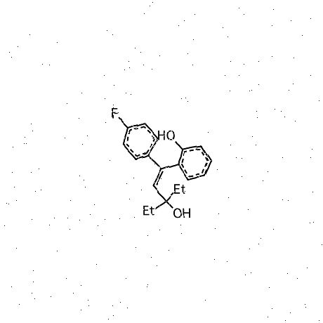 CCC(O)(C=C(c1ccc(F)cc1)c1ccccc1O)CC